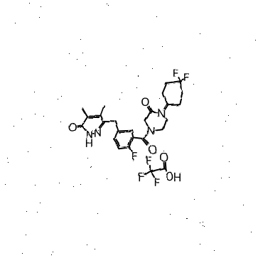 Cc1c(Cc2ccc(F)c(C(=O)N3CCN(C4CCC(F)(F)CC4)C(=O)C3)c2)n[nH]c(=O)c1C.O=C(O)C(F)(F)F